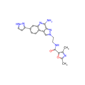 Cc1nc(C)c(C(=O)NCCn2cc3c(n2)c(N)nc2cc(-c4cc[nH]n4)ccc23)o1